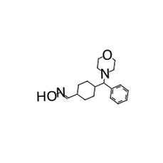 ON=CC1CCC(C(c2ccccc2)N2CCOCC2)CC1